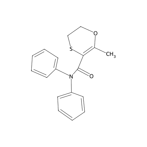 CC1=C(C(=O)N(c2ccccc2)c2ccccc2)SCCO1